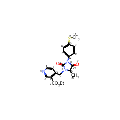 CCOC(=O)c1cnccc1CN1C(=O)N(c2ccc(SC(F)(F)F)cc2)C(=O)C1C